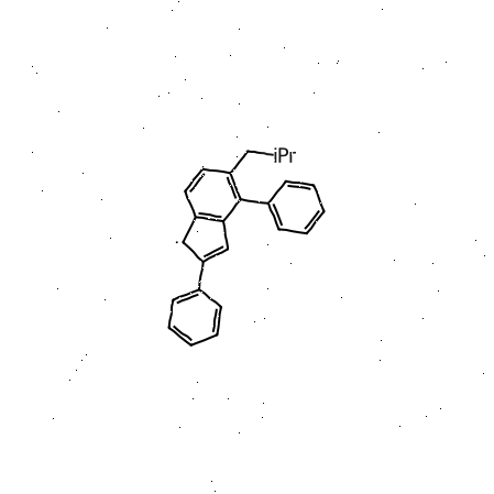 CC(C)Cc1ccc2c(c1-c1ccccc1)C=C(c1ccccc1)[CH]2